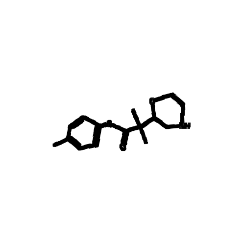 Cc1ccc(SC(=O)C(C)(C)C2CNCCO2)cc1